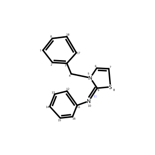 c1ccc(Cn2ccs/c2=N/c2ccccc2)cc1